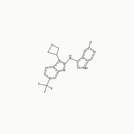 FC(F)(F)c1ccc2c(c1)nc(Nc1c[nH]c3ccc(Cl)cc13)n2C1COC1